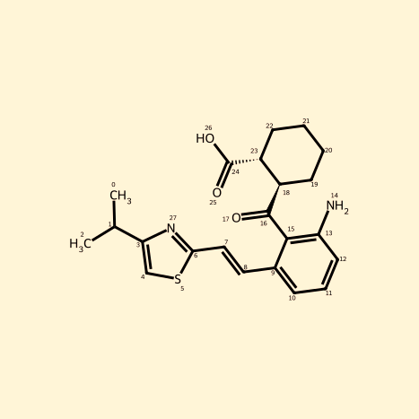 CC(C)c1csc(C=Cc2cccc(N)c2C(=O)[C@@H]2CCCC[C@H]2C(=O)O)n1